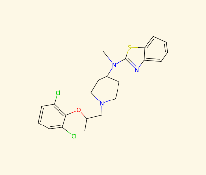 CC(CN1CCC(N(C)c2nc3ccccc3s2)CC1)Oc1c(Cl)cccc1Cl